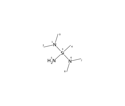 CN(C)[Si](C)(N)N(C)C